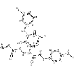 COc1ccc(CNC(=O)[C@H](CCC(=O)C=N)NC(=O)[C@H](Cc2cccc(F)c2)NC(C)=O)cc1